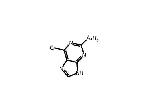 Clc1nc([AsH2])nc2[nH]cnc12